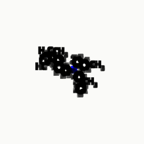 C#CC1=C(/C=C\C)C(C)(C)C2C=CC3=C(CCc4ccc(N(C5=CC[C@@](C)(C6C=CC=CC6)C=C5)C5=C6CC[C@H](C)CC6=CCC5)cc43)C12